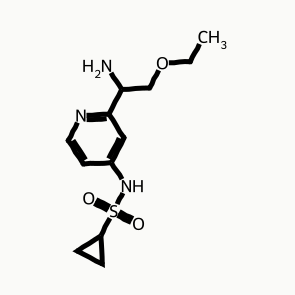 CCOCC(N)c1cc(NS(=O)(=O)C2CC2)ccn1